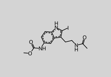 COC(=O)Nc1ccc2[nH]c(I)c(CCNC(C)=O)c2c1